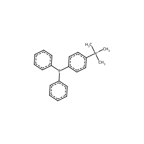 C[N+](C)(C)c1ccc(P(c2ccccc2)c2ccccc2)cc1